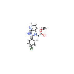 CC(C)OC(=O)CN1c2cccnc2NC1c1ccc(Cl)cc1